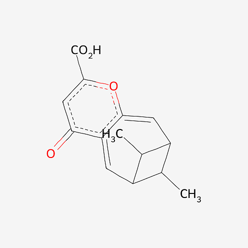 CC1C2C=c3oc(C(=O)O)cc(=O)c3=CC1C2C